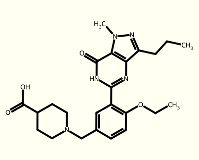 CCCc1nn(C)c2c(=O)[nH]c(-c3cc(CN4CCC(C(=O)O)CC4)ccc3OCC)nc12